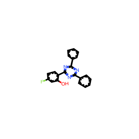 Oc1cc(F)ccc1-c1nc(-c2ccccc2)nc(-c2ccccc2)n1